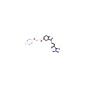 CN1CCN(C(=O)CNC(=O)c2ccc3c(c2)c(-c2cc4c(ncc5cnn(C)c54)[nH]2)cn3C)CC1